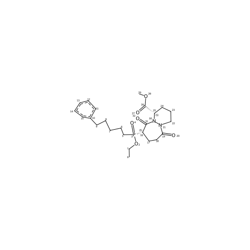 CCOP(=O)(CCCCCc1ccccc1)[C@H]1CCC(=O)N2CCC[C@@H](C(=O)OC)N2C1=O